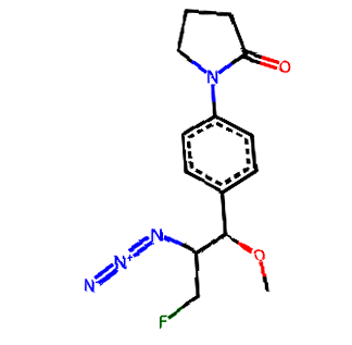 CO[C@H](c1ccc(N2CCCC2=O)cc1)C(CF)N=[N+]=[N-]